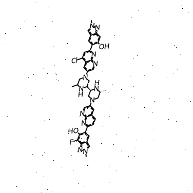 CC1CN(c2cnc3nc(-c4cc5cn(C)nc5cc4O)cc(Cl)c3c2)CC([C@@H]2CN(c3cnc4nc(-c5cc6cn(C)nc6c(F)c5O)ccc4c3)C[C@@H](C)N2)N1